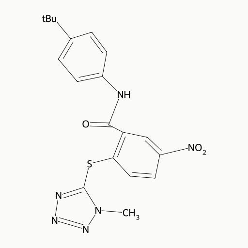 Cn1nnnc1Sc1ccc([N+](=O)[O-])cc1C(=O)Nc1ccc(C(C)(C)C)cc1